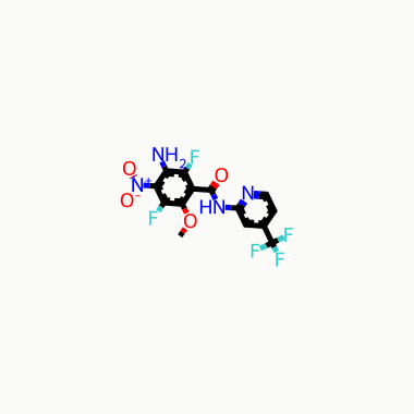 COc1c(F)c([N+](=O)[O-])c(N)c(F)c1C(=O)Nc1cc(C(F)(F)F)ccn1